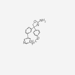 COc1ccc(C2(c3cccc(-c4cncc(F)c4)c3)COC(N)=N2)cc1